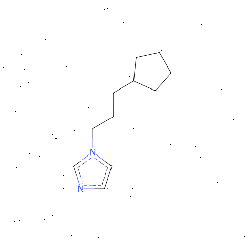 [c]1cn(CCCC2CCCC2)cn1